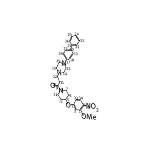 COc1cc(OC2CCN(C(=O)CCN3CCN(c4ccc(-c5ccccc5)cc4)CC3)CC2)ccc1[N+](=O)[O-]